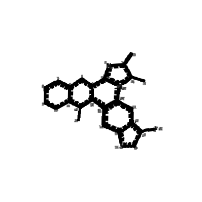 Cc1nc2c3cc4ccccc4c(C)c3c3cc4scc(F)c4cc3n2c1C